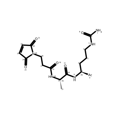 CC(=O)[C@H](CCCNC(N)=O)NC(=O)[C@H](C)NC(=O)CCN1C(=O)C=CC1=O